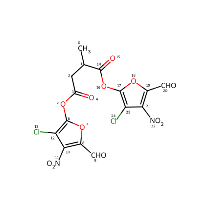 CC(CC(=O)Oc1oc(C=O)c([N+](=O)[O-])c1Cl)C(=O)Oc1oc(C=O)c([N+](=O)[O-])c1Cl